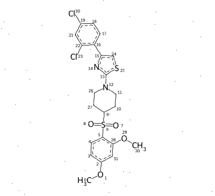 COc1ccc(S(=O)(=O)C2CCN(c3nc(-c4ccc(Cl)cc4Cl)cs3)CC2)c(OC)c1